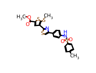 COC(=O)c1cc(-c2nc(-c3ccc(NS(=O)(=O)c4ccc(C)cc4)cc3)cs2)c(SC)s1